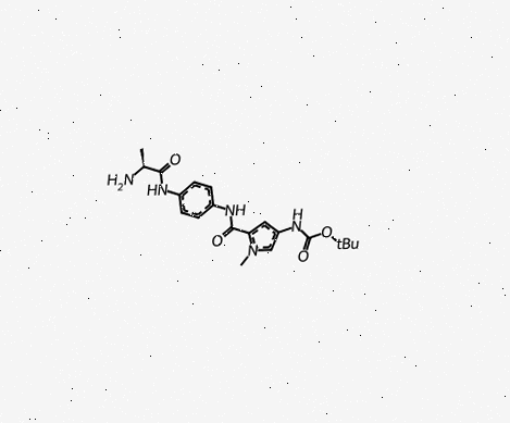 C[C@H](N)C(=O)Nc1ccc(NC(=O)c2cc(NC(=O)OC(C)(C)C)cn2C)cc1